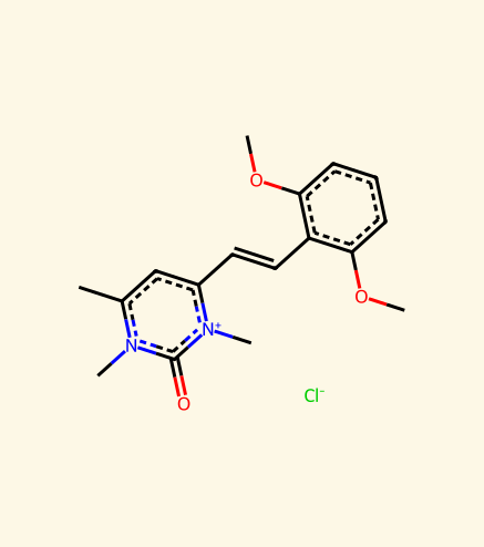 COc1cccc(OC)c1C=Cc1cc(C)n(C)c(=O)[n+]1C.[Cl-]